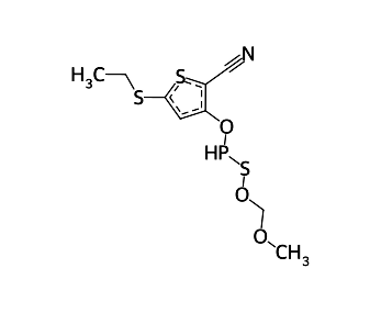 CCSc1cc(OPSOCOC)c(C#N)s1